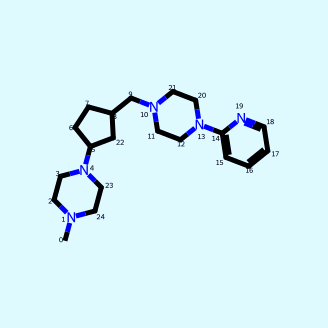 CN1CCN(C2CCC(CN3CCN(c4ccccn4)CC3)C2)CC1